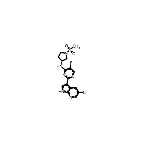 CS(=O)(=O)N1CC[C@H](Nc2nc(-c3c[nH]c4ncc(Cl)cc34)ncc2F)C1